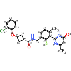 O=c1cc(C(F)(F)F)nc(-c2c(C(F)(F)F)ccc(CNC(=O)[C@H]3C[C@H](Oc4ccccc4Cl)C3)c2F)[nH]1